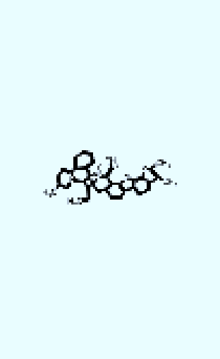 C=CC1C2C(c3ccccc3-c3ccc(C)c[n+]32)C12Cc1ccc3c(oc4c3ccc3c(C)c(C)sc34)c1/C(=C/C)[N+]2(C)C